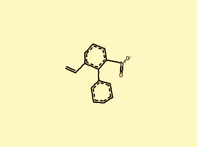 C=Cc1cccc([N+](=O)[O-])c1-c1ccccc1